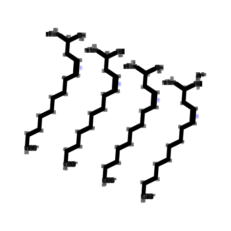 CCCCCCC(O)C/C=C\CCCCCCCC(=O)[O-].CCCCCCC(O)C/C=C\CCCCCCCC(=O)[O-].CCCCCCC(O)C/C=C\CCCCCCCC(=O)[O-].CCCCCCC(O)C/C=C\CCCCCCCC(=O)[O-].[Zr+4]